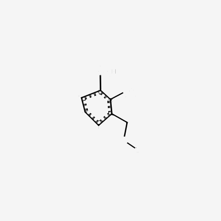 CCOCc1cccc(C(=O)O)c1C(=O)O